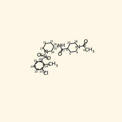 CC(=O)N1CCC(C(=O)N[C@H]2CCCN(S(=O)(=O)c3cccc(Cl)c3C)C2)CC1